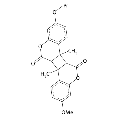 COc1ccc2c(c1)OC(=O)C1C2(C)C2C(=O)Oc3cc(OC(C)C)ccc3C12C